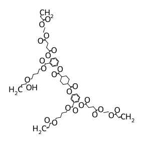 C=CC(=O)OCCCCOC(=O)c1cc(OC(=O)C2CCC(C(=O)Oc3ccc(OC(=O)CCC(=O)OCCOC(=O)C=C)c(C(=O)OCCCCOC(O)C=C)c3)CC2)ccc1OC(=O)CCC(=O)OCCOC(=O)C=C